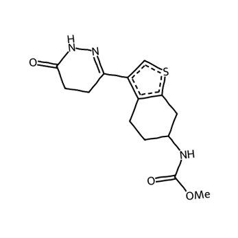 COC(=O)NC1CCc2c(C3=NNC(=O)CC3)csc2C1